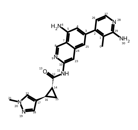 Cc1c(-c2cc(N)c3cnc(NC(=O)[C@@H]4C[C@H]4c4cnn(C)c4)cc3c2)ccnc1N